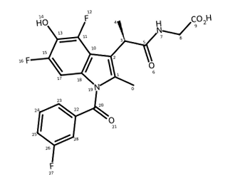 Cc1c([C@@H](C)C(=O)NCC(=O)O)c2c(F)c(O)c(F)cc2n1C(=O)c1cccc(F)c1